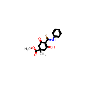 COC(=O)C1(C)CC(=O)C(C(=S)Nc2ccccc2)=C(O)C1